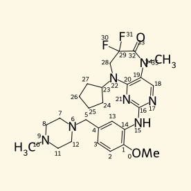 COc1ccc(CN2CCN(C)CC2)cc1Nc1ncc2c(n1)N(C1CCCC1)CC(F)(F)C(=O)N2C